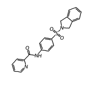 O=C(Nc1ccc(S(=O)(=O)N2Cc3ccccc3C2)cc1)c1ccccn1